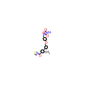 Cc1cc(C(=O)N2CCSC2)ccc1-c1cccc(COc2ccc(Cn3oc(=O)[nH]c3=O)cc2)c1